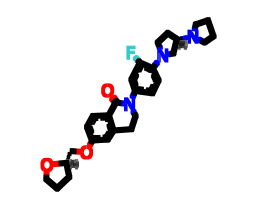 O=C1c2ccc(OC[C@@H]3CCCO3)cc2CCN1c1ccc(N2CC[C@@H](N3CCCC3)C2)c(F)c1